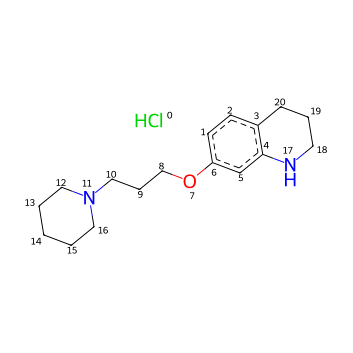 Cl.c1cc2c(cc1OCCCN1CCCCC1)NCCC2